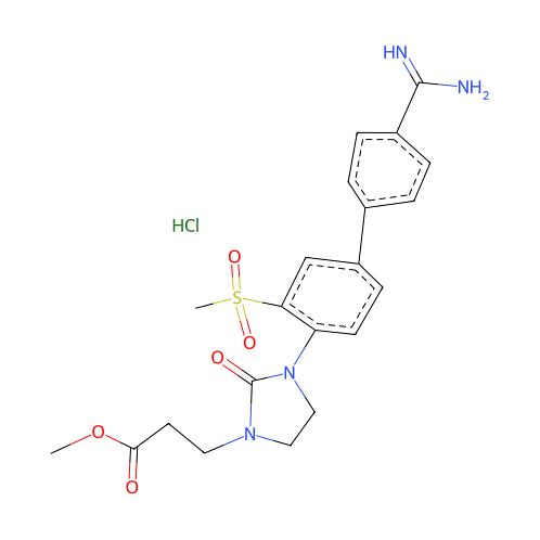 COC(=O)CCN1CCN(c2ccc(-c3ccc(C(=N)N)cc3)cc2S(C)(=O)=O)C1=O.Cl